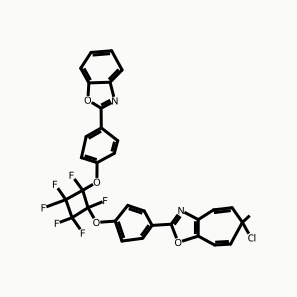 CC1(Cl)C=Cc2nc(-c3ccc(OC4(F)C(F)(F)C(F)(F)C4(F)Oc4ccc(-c5nc6ccccc6o5)cc4)cc3)oc2C=C1